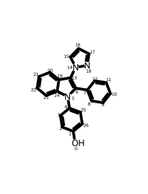 Oc1ccc(-n2c(-c3ccccc3)c(-n3cccn3)c3ccccc32)cc1